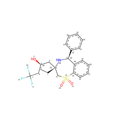 CC[C@]1(C[C@H](O)CC(F)(F)F)CS(=O)(=O)c2ccccc2[C@H](c2ccccc2)N1